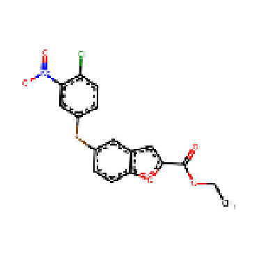 CCOC(=O)c1cc2cc(Sc3ccc(Cl)c([N+](=O)[O-])c3)ccc2o1